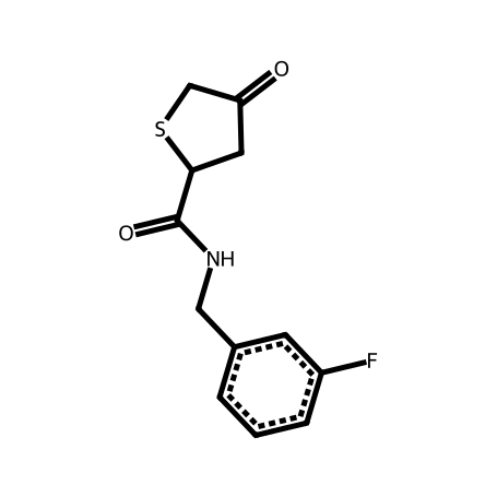 O=C1CSC(C(=O)NCc2cccc(F)c2)C1